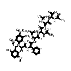 COc1ccc(O)c(CN(c2cc(N)c([N+](=O)[O-])cc2[N+](=O)[O-])C(O)C(=O)NC(C(=O)NC(NC(=N)N)C(=O)NC(NC(=N)N)C(=O)NC(NC(=N)N)C(=O)NC(NC(=N)N)C(N)=O)c2ccccc2)c1